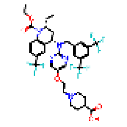 CCOC(=O)N1c2ccc(C(F)(F)F)cc2[C@@H](N(Cc2cc(C(F)(F)F)cc(C(F)(F)F)c2)c2ncc(OCCN3CCC(C(=O)O)CC3)cn2)C[C@H]1CC